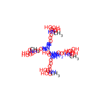 CC(=O)NC1CC(O)C(CO)OC1OCCOCCOCCOCCNCC1(N=N)CN(C(CCCCN(Cc2cn(CCOCCOCCOCCOC3OC(CO)C(O)CC3NC(C)=O)nn2)Cc2cn(CCOCCOCCOCCOC3OC(CO)C(O)C(O)C3NC(C)=O)nn2)C(=O)O)C/C(=C/N(N)CCOCCOCCOCCOC(O)C(NC(C)=O)C(O)C(O)CCO)N1